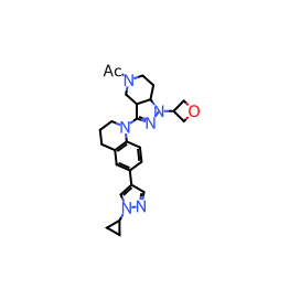 CC(=O)N1CCC2C(C1)C(N1CCCc3cc(-c4cnn(C5CC5)c4)ccc31)=NN2C1COC1